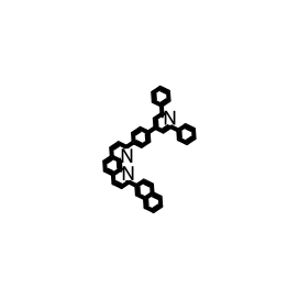 c1ccc(-c2cc(-c3ccc(-c4ccc5ccc6ccc(-c7ccc8ccccc8c7)nc6c5n4)cc3)cc(-c3ccccc3)n2)cc1